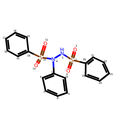 O=S(=O)(NN(c1ccccc1)S(=O)(=O)c1ccccc1)c1ccccc1